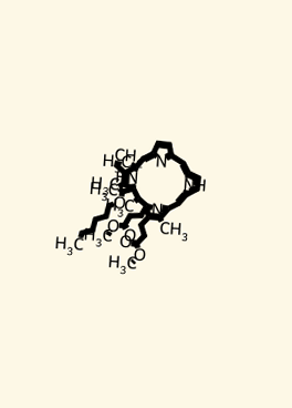 C=CC1=C(C)C2(C(C)OCCCCCC)NC1(C)C=C1C=CC(=N1)C=c1ccc([nH]1)=CC1=NC(CCC(=O)OC)(C(CCC(=O)OC)=C1C)C2C